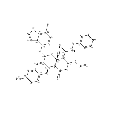 C=CCN1CC(=O)N2[C@@H](Cc3ccc(O)cc3)C(=O)N(Cc3ccc(F)c4scnc34)C[C@@H]2N1C(=O)NCc1ccncc1